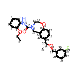 CCOc1ccccc1NC(=O)N1CCOc2ccc([C@@H](C)OCc3cccc(F)c3)cc2C1